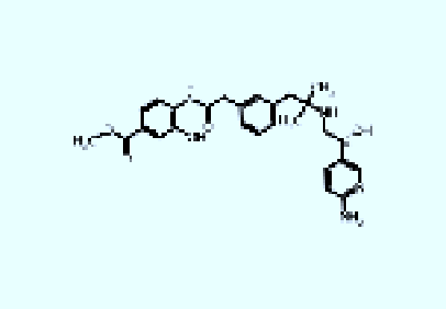 COC(=O)c1ccc(NC(=O)Cc2cccc(CC(C)(C)NC[C@H](O)c3ccc(N)nc3)c2)c(O)c1